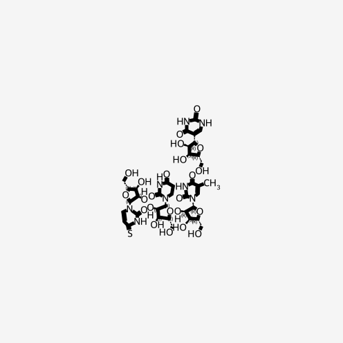 Cc1cn([C@@H]2O[C@H](CO)[C@@H](O)[C@H]2O)c(=O)[nH]c1=O.O=C1CCN([C@@H]2O[C@H](CO)[C@@H](O)[C@H]2O)C(=O)N1.O=c1[nH]c(=S)ccn1[C@@H]1O[C@H](CO)[C@@H](O)[C@H]1O.O=c1[nH]cc([C@@H]2O[C@H](CO)[C@@H](O)[C@H]2O)c(=O)[nH]1